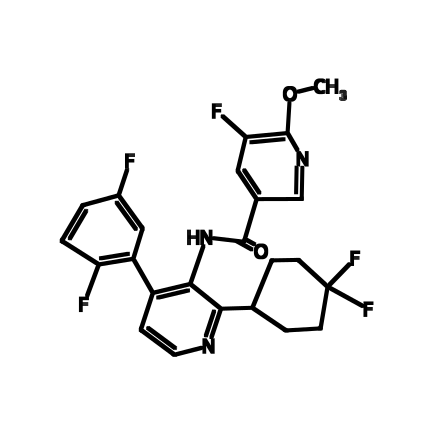 COc1ncc(C(=O)Nc2c(-c3cc(F)ccc3F)ccnc2C2CCC(F)(F)CC2)cc1F